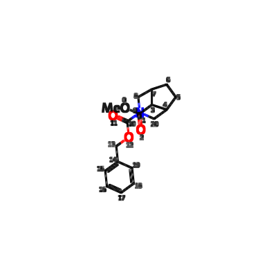 COC(=O)C1C2CCC1CN(C(=O)OCc1ccccc1)C2